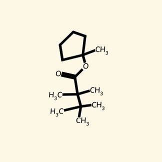 CC1(OC(=O)C(C)(C)C(C)(C)C)CCCC1